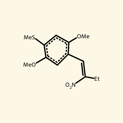 CCC(=Cc1cc(OC)c(SC)cc1OC)[N+](=O)[O-]